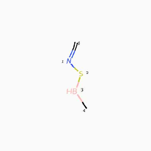 C=NSBC